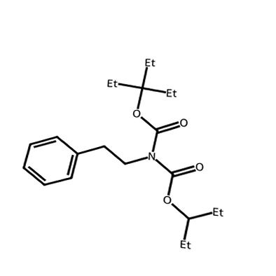 CCC(CC)OC(=O)N(CCc1ccccc1)C(=O)OC(CC)(CC)CC